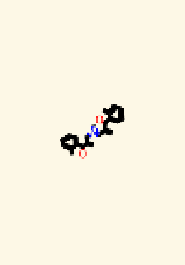 C=C(CN(C)CC(=C)C(=O)c1ccccc1C)C(=O)c1ccccc1C